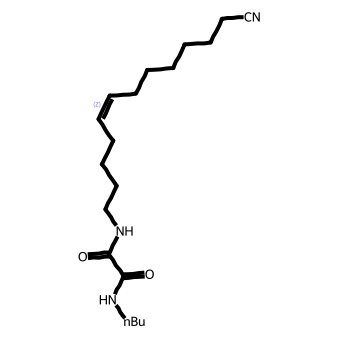 CCCCNC(=O)C(=O)NCCCC/C=C\CCCCCCC#N